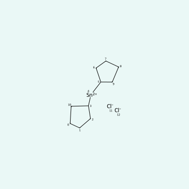 C1CC[CH]([Sn+2][CH]2CCCC2)C1.[Cl-].[Cl-]